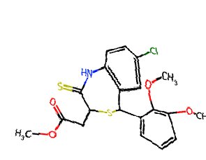 COC(=O)CC1SC(c2cccc(OC)c2OC)c2cc(Cl)ccc2NC1=S